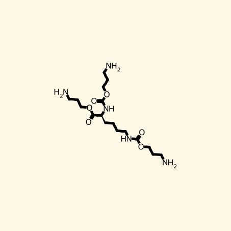 NCCCOC(=O)NCCCC[C@H](NC(=O)OCCCN)C(=O)OCCCN